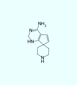 NC1=NCNC2=C1C=CC21CCNCC1